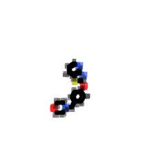 c1cnc2nc(Oc3ccc(CN4CCOCC4)cc3)sc2c1